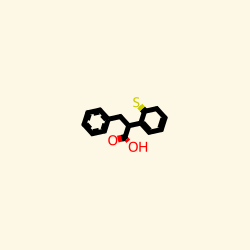 O=C(O)C(Cc1ccccc1)C1=CC=CCC1=S